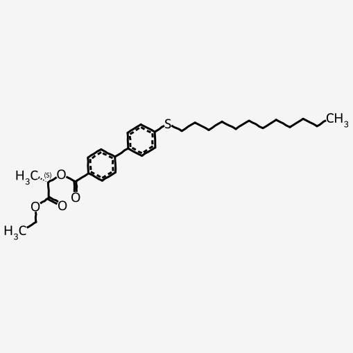 CCCCCCCCCCCCSc1ccc(-c2ccc(C(=O)O[C@@H](C)C(=O)OCC)cc2)cc1